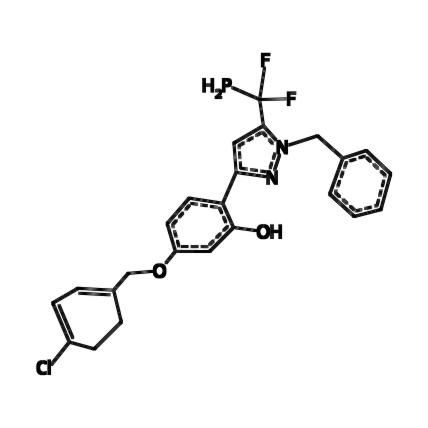 Oc1cc(OCC2=CC=C(Cl)CC2)ccc1-c1cc(C(F)(F)P)n(Cc2ccccc2)n1